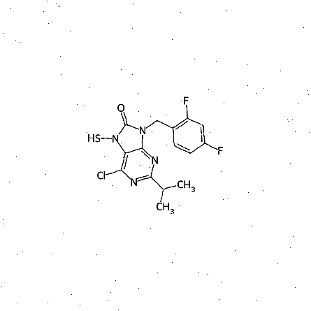 CC(C)c1nc(Cl)c2c(n1)n(Cc1ccc(F)cc1F)c(=O)n2S